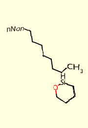 CCCCCCCCCCCCCCCC(C)[SiH]1CCCCO1